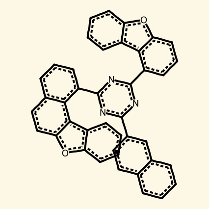 c1ccc2cc(-c3nc(-c4cccc5oc6ccccc6c45)nc(-c4cccc5ccc6oc7ccccc7c6c45)n3)ccc2c1